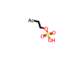 CC(=O)CCOS(=O)(=O)O